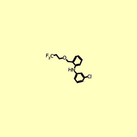 FC(F)(F)CCOCc1ccccc1Nc1cc[c]c(Cl)c1